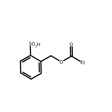 [CH2]CC(=O)OCc1ccccc1S(=O)(=O)O